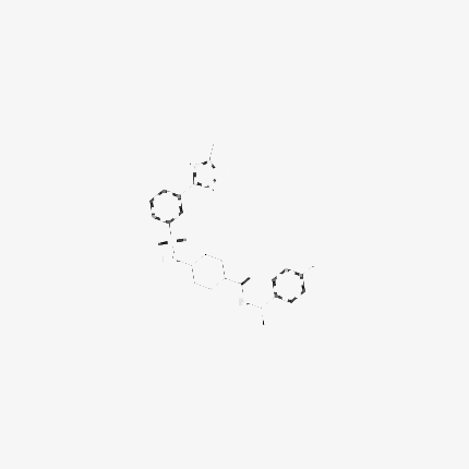 Cc1nc(-c2cccc(S(=O)(=O)NC3CCC(C(=O)N[C@H](C)c4ccc(F)cc4)CC3)c2)no1